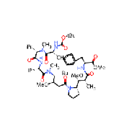 CC[C@H](C)[C@@H]([C@@H](CC(=O)N1CCC[C@H]1[C@H](OC)[C@@H](C)C(=O)N[C@@H](Cc1ccccc1)C(=O)OC)OC)N(C)C(=O)[C@@H](NC(=O)[C@H](C(C)C)N(C)C(=O)[C@@H](C)NC(=O)OC(C)(C)C)C(C)C